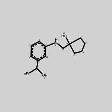 CCCC(O)c1cccc(NCC2(O)CCCC2)c1